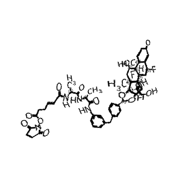 C[C@H](NC(=O)CCCCC(=O)ON1C(=O)CCC1=O)C(=O)N[C@@H](C)C(=O)Nc1cccc(Cc2ccc([C@@H]3O[C@@H]4C[C@H]5[C@@H]6C[C@H](F)C7=CC(=O)C=C[C@]7(C)[C@@]6(F)[C@@H](O)C[C@]5(C)[C@]4(C(=O)CO)O3)cc2)c1